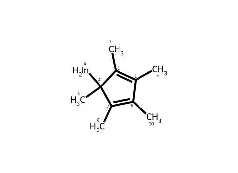 CC1=C(C)[C](C)([InH2])C(C)=C1C